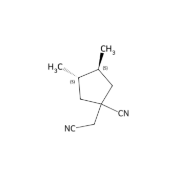 C[C@H]1CC(C#N)(CC#N)C[C@@H]1C